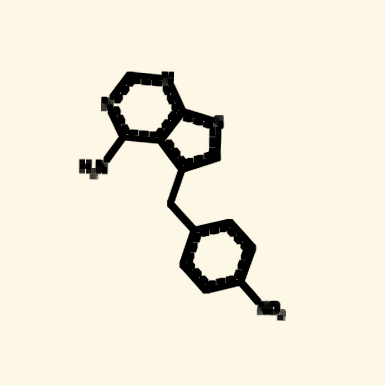 Nc1ncnc2scc(Cc3ccc([N+](=O)[O-])cc3)c12